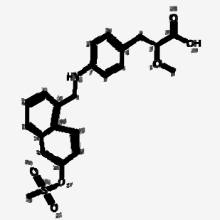 CO[C@@H](Cc1ccc(NCc2cccc3cc(OS(C)(=O)=O)ccc23)cc1)C(=O)O